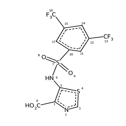 O=C(O)c1ncsc1NS(=O)(=O)c1cc(C(F)(F)F)cc(C(F)(F)F)c1